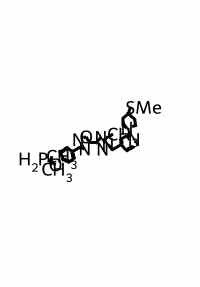 CSC1CCN(c2cc(Cn3nc(-c4nc(-c5ccc(OC(C)(C)P)cc5)no4)nc3C)ccn2)CC1